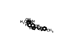 COC[C@]12CC[C@@](C)(O)C[C@@H]1CC[C@H]1[C@@H]3CC[C@H](C(=O)Cn4cc5cc(C)ccc5n4)[C@@]3(C)CC[C@@H]12